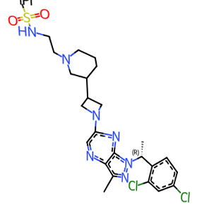 Cc1nn([C@H](C)c2ccc(Cl)cc2Cl)c2nc(N3CC(C4CCCN(CCNS(=O)(=O)C(C)C)C4)C3)cnc12